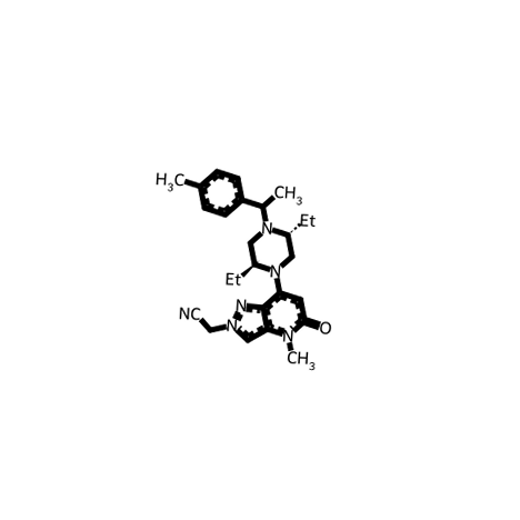 CC[C@H]1CN(C(C)c2ccc(C)cc2)[C@H](CC)CN1c1cc(=O)n(C)c2cn(CC#N)nc12